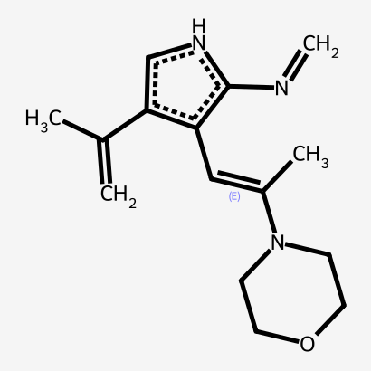 C=Nc1[nH]cc(C(=C)C)c1/C=C(\C)N1CCOCC1